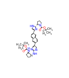 CC(C)(C)OC(=O)N[C@@H]1CCC[C@H]1Nc1ncc(-c2ccc3cc(-c4c[nH]c([C@@H]5CCCN5C(=O)OC(C)(C)C)n4)ccc3c2)cn1